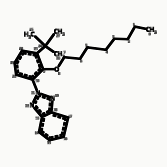 CCCCCCCCOc1c(-n2nc3ccccc3n2)cccc1C(C)(C)C